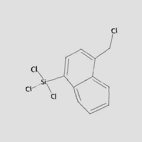 ClCc1ccc([Si](Cl)(Cl)Cl)c2ccccc12